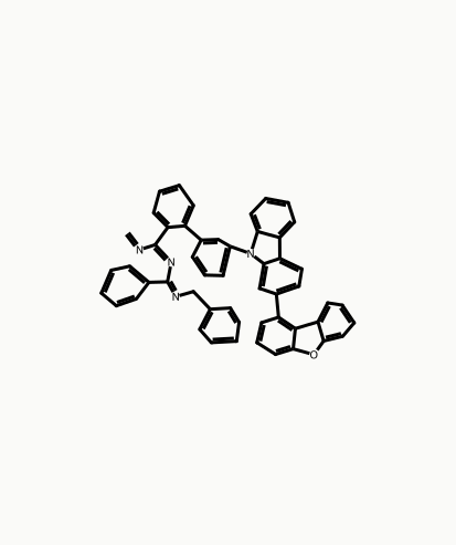 C=N/C(=N\C(=N/Cc1ccccc1)c1ccccc1)c1ccccc1-c1cccc(-n2c3ccccc3c3ccc(-c4cccc5oc6ccccc6c45)cc32)c1